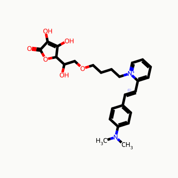 CN(C)c1ccc(/C=C/c2cccc[n+]2CCCCOCC(O)C2OC(=O)C(O)=C2O)cc1